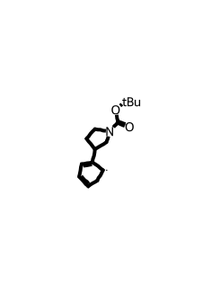 CC(C)(C)OC(=O)N1CCC(C2=CC=CC[CH]2)C1